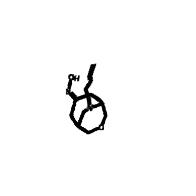 C=CCN1CC2COCC1CC(=NO)C2